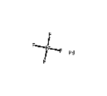 F[B-](F)(F)F.[Pd]